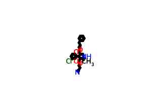 CC1=C(C(=O)OCCC#N)C(c2cccc(Cl)c2)C(C(=O)OC=CCc2ccccc2)=CN1